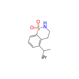 CC(C)C(C)c1cccc2c1CCNS2(=O)=O